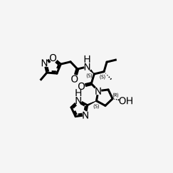 CC[C@H](C)[C@H](NC(=O)Cc1cc(C)no1)C(=O)N1C[C@H](O)C[C@H]1c1ncc[nH]1